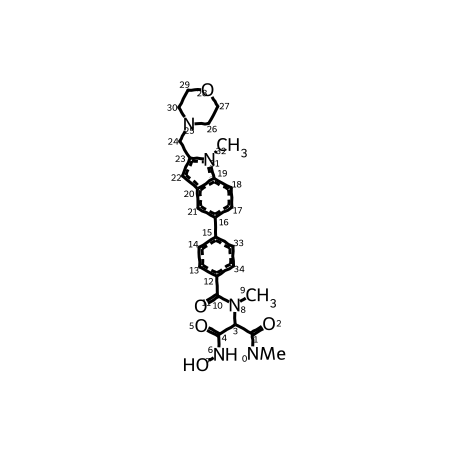 CNC(=O)C(C(=O)NO)N(C)C(=O)c1ccc(-c2ccc3c(c2)cc(CN2CCOCC2)n3C)cc1